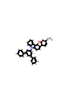 CC1C=Cc2c(oc3c2ccc2c3c3ccccc3n2-c2cc(-c3ccccc3)cc(-c3ccccc3)c2)C1